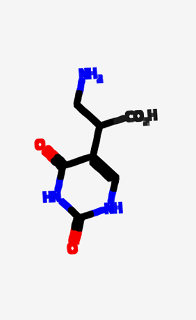 NCC(C(=O)O)c1c[nH]c(=O)[nH]c1=O